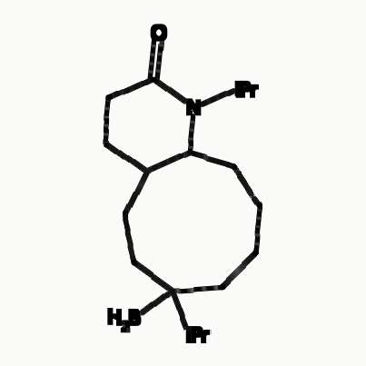 BC1(C(C)C)CCCCC2C(CCC(=O)N2C(C)C)CC1